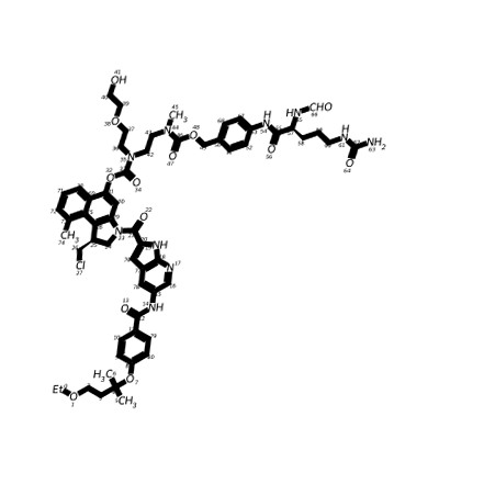 CCOCCC(C)(C)Oc1ccc(C(=O)Nc2cnc3[nH]c(C(=O)N4C[C@@H](CCl)c5c4cc(OC(=O)N(CCOCCO)CCN(C)C(=O)OCc4ccc(NC(=O)[C@H](CCCNC(N)=O)NC=O)cc4)c4cccc(C)c54)cc3c2)cc1